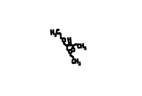 CCCOCC(COCCC)NC(=O)CC